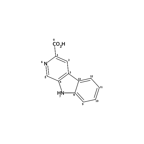 O=C(O)c1cc2c([c]n1)[nH]c1ccccc12